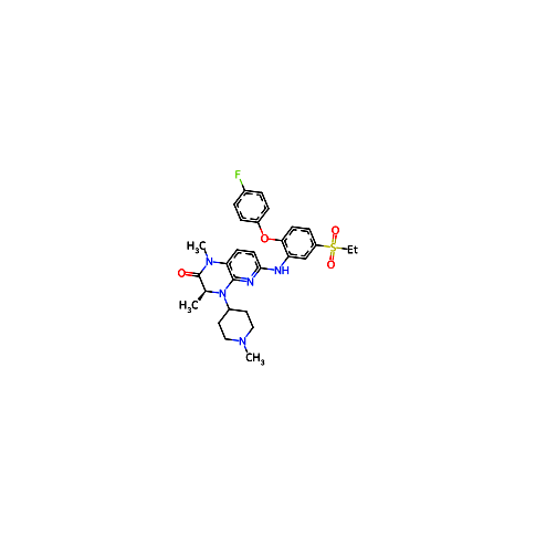 CCS(=O)(=O)c1ccc(Oc2ccc(F)cc2)c(Nc2ccc3c(n2)N(C2CCN(C)CC2)[C@@H](C)C(=O)N3C)c1